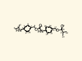 CC(C)Nc1ccc(COC(=O)Nc2ccc(COC(=O)C(C)C)cc2)cc1